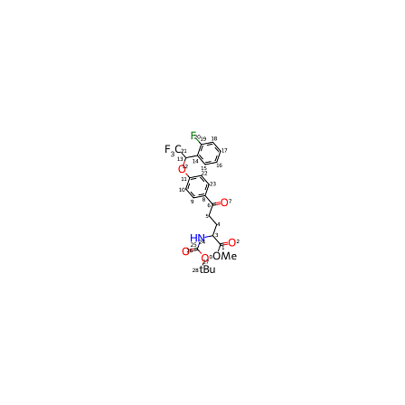 COC(=O)C(CCC(=O)c1ccc(OC(c2ccccc2F)C(F)(F)F)cc1)NC(=O)OC(C)(C)C